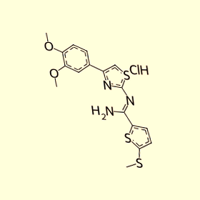 COc1ccc(-c2csc(N=C(N)c3ccc(SC)s3)n2)cc1OC.Cl